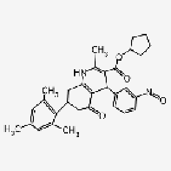 CC1=C(C(=O)OC2CCCC2)C(c2cccc(N=O)c2)C2=C(CC(c3c(C)cc(C)cc3C)CC2=O)N1